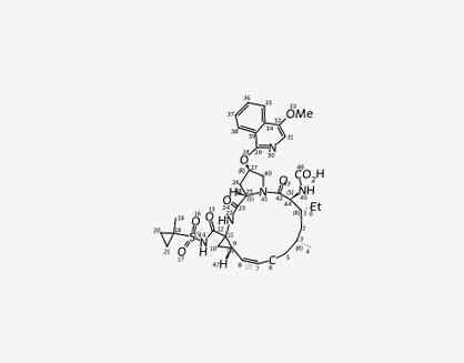 CC[C@@H]1C[C@H](C)CC/C=C\[C@@H]2CC2(C(=O)NS(=O)(=O)C2(C)CC2)NC(=O)[C@@H]2C[C@@H](Oc3ncc(OC)c4ccccc34)CN2C(=O)[C@H]1NC(=O)O